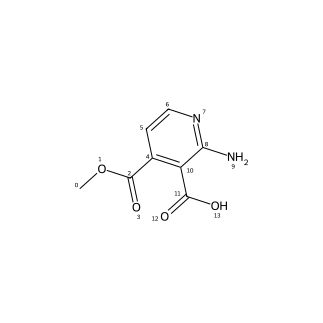 COC(=O)c1ccnc(N)c1C(=O)O